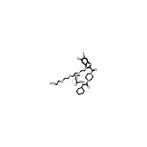 CN[C@@H](C)C(=O)N[C@H](C(=O)N1CCN(C(=O)c2nc3cc(F)c(F)cc3n2CCOCCOCCOCCO)CC1)C1CCCCC1